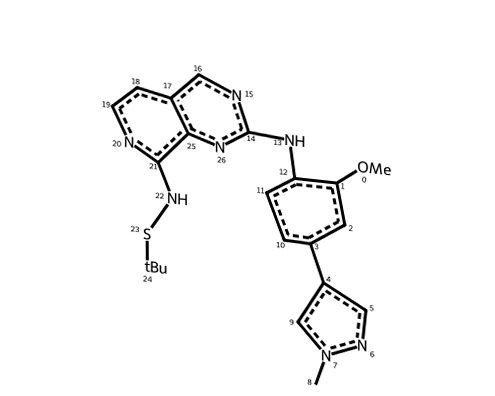 COc1cc(-c2cnn(C)c2)ccc1Nc1ncc2ccnc(NSC(C)(C)C)c2n1